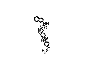 O=C(Nc1ccc2ccccc2c1)OC1=NOC2(CCN(S(=O)(=O)c3ccc(OC(F)(F)F)cc3)CC2)C1